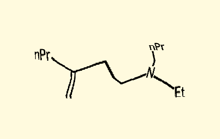 C=C(CCC)CCN(CC)CCC